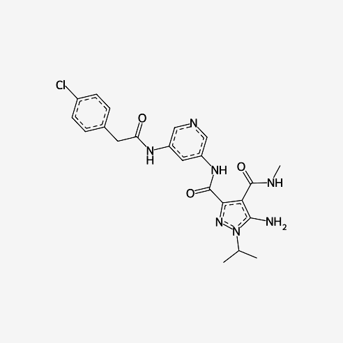 CNC(=O)c1c(C(=O)Nc2cncc(NC(=O)Cc3ccc(Cl)cc3)c2)nn(C(C)C)c1N